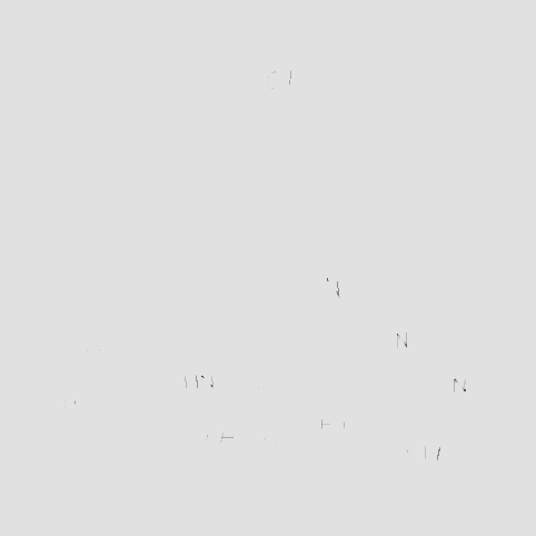 CCc1ccc(-c2cc(C(=O)NC3(C)CCS(=O)(=O)C3)cc(-n3ccnc3C(C)C)n2)cc1